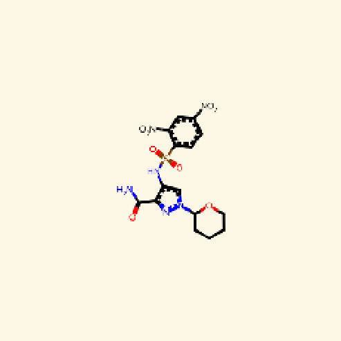 NC(=O)c1nn(C2CCCCO2)cc1NS(=O)(=O)c1ccc([N+](=O)[O-])cc1[N+](=O)[O-]